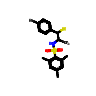 CCc1ccc(C(S)C(NS(=O)(=O)c2c(C)cc(C)cc2C)C(F)(F)F)cc1